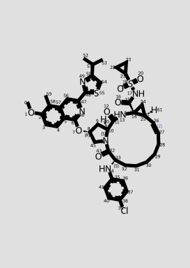 COc1ccc2c(O[C@@H]3C[C@H]4C(=O)N[C@]5(C(=O)NS(=O)(=O)C6CC6)C[C@H]5/C=C\CCCCC[C@H](Nc5ccc(Cl)cc5)C(=O)N4C3)nc(-c3nc(C(C)C)cs3)cc2c1C